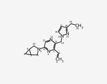 C=Cc1nc(N2CC3CC3C2)cnc1Cn1ccc(CC)n1